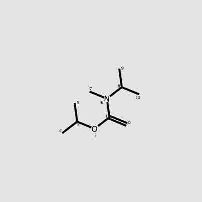 C=C(OC(C)C)N(C)C(C)C